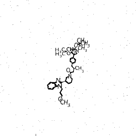 COCCCn1c([C@@H]2CCCN(C(=O)C[C@H](C)Cc3ccc(-c4cnc(OC(C)(C)C)nc4OC(C)(C)C)cc3)C2)nc2ccccc21